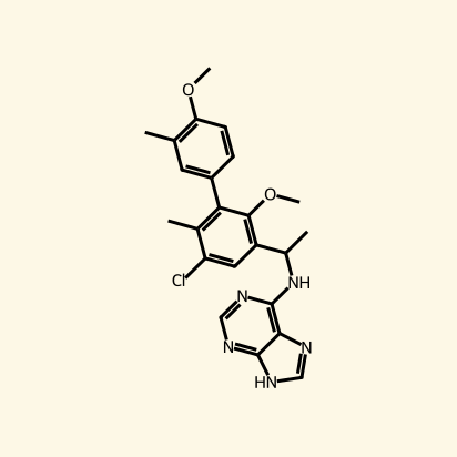 COc1ccc(-c2c(C)c(Cl)cc(C(C)Nc3ncnc4[nH]cnc34)c2OC)cc1C